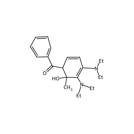 CCN(CC)C1=C(N(CC)CC)C(C)(O)C(C(=O)c2ccccc2)C=C1